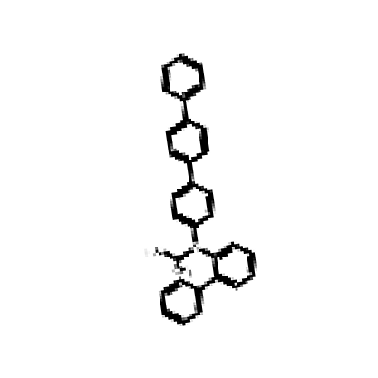 CC(C)N(c1ccc(-c2ccc(-c3ccccc3)cc2)cc1)c1ccccc1-c1ccccc1